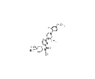 COc1ccc(N2CCN(c3nccc(C(=O)N(C4CC4)C4CCC(C)(O)CC4)n3)C(C)C2)c(F)c1